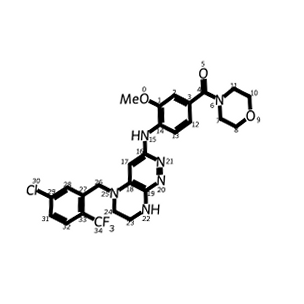 COc1cc(C(=O)N2CCOCC2)ccc1Nc1cc2c(nn1)NCCN2Cc1cc(Cl)ccc1C(F)(F)F